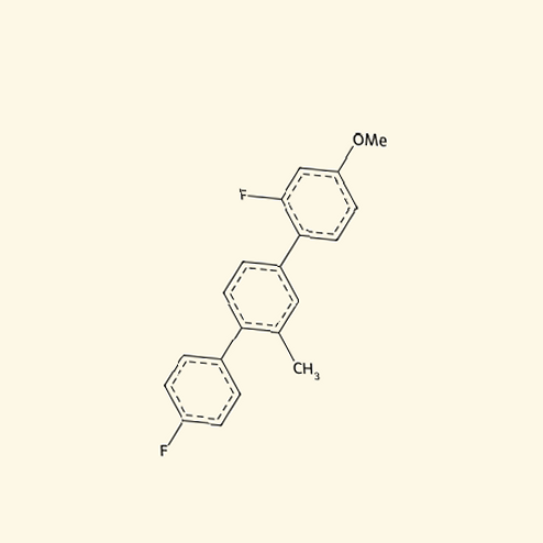 COc1ccc(-c2ccc(-c3ccc(F)cc3)c(C)c2)c(F)c1